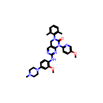 COc1ccc(N2C(=O)N(c3c(C)cccc3C)Cc3cnc(Nc4ccc(N5CCN(C)CC5)cc4OC)nc32)nc1